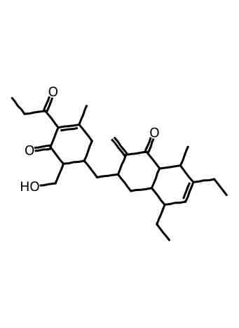 C=C1C(=O)C2C(C)C(CC)=CC(CC)C2CC1CC1CC(C)=C(C(=O)CC)C(=O)C1CO